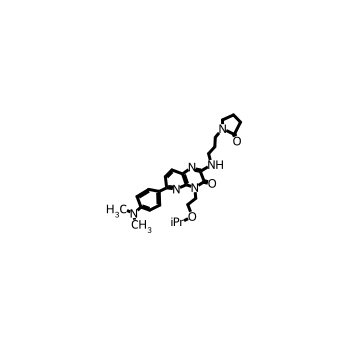 CC(C)OCCn1c(=O)c(NCCCN2CCCC2=O)nc2ccc(-c3ccc(N(C)C)cc3)nc21